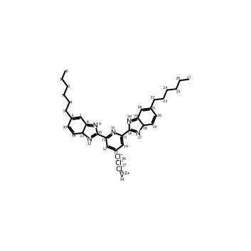 CCCCCCC1=CC2=NC(c3cccc(C4=NC5C=CC(CCCCCC)=CC5=N4)n3)=NC2C=C1.[Cl-].[Cl-].[Cl-].[V+3]